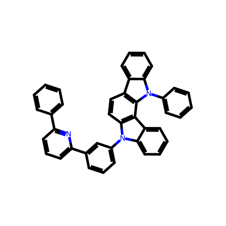 c1ccc(-c2cccc(-c3cccc(-n4c5ccccc5c5c4ccc4c6ccccc6n(-c6ccccc6)c45)c3)n2)cc1